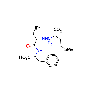 CC(C)CC(N)C(=O)NC(Cc1ccccc1)C(=O)O.CSCCC(N)C(=O)O